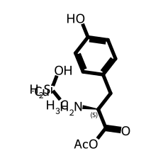 CC(=O)OC(=O)[C@@H](N)Cc1ccc(O)cc1.C[SiH2]O.[Cu]